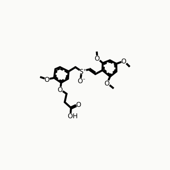 COc1cc(OC)c(/C=C/[S+]([O-])Cc2ccc(OC)c(OCCC(=O)O)c2)c(OC)c1